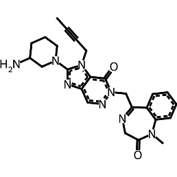 CC#CCn1c(N2CCCC(N)C2)nc2cnn(CC3=NCC(=O)N(C)c4ccccc43)c(=O)c21